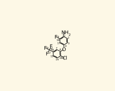 Nc1ccc(Oc2cc(C(F)(F)F)ccc2Cl)cc1F